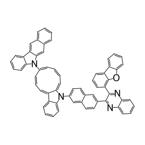 c1ccc2c(cccc(-n3c4ccccc4c4cc5ccccc5cc43)c1)c1ccccc1n2-c1ccc2cc(-c3nc4ccccc4nc3-c3cccc4c3oc3ccccc34)ccc2c1